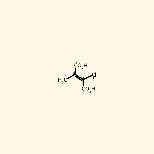 CC(C(=O)O)=C(Cl)C(=O)O